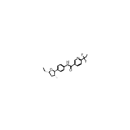 CC[C@H]1C[C@@H](C)[C@H](c2ccc(NC(=O)c3ccc(C(F)(F)F)nc3)cc2)O1